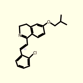 CC(C)COc1ccc2c(c1)CCN=C2/C=C/c1ccccc1Cl